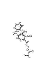 C=C(C)C(=O)OCCOc1ccc(C(=O)c2ccccc2)c(O)c1O